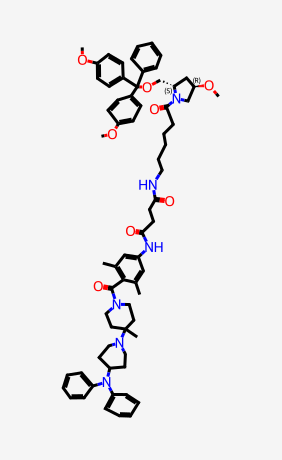 COc1ccc(C(OC[C@@H]2C[C@@H](OC)CN2C(=O)CCCCCNC(=O)CCC(=O)Nc2cc(C)c(C(=O)N3CCC(C)(N4CCC(N(c5ccccc5)c5ccccc5)CC4)CC3)c(C)c2)(c2ccccc2)c2ccc(OC)cc2)cc1